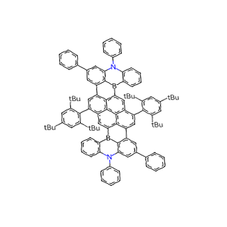 CC(C)(C)c1cc(C(C)(C)C)c(-c2cc3c4c(cc5c(-c6c(C(C)(C)C)cc(C(C)(C)C)cc6C(C)(C)C)cc6c7c(cc2c4c57)B2c4ccccc4N(c4ccccc4)c4cc(-c5ccccc5)cc-6c42)B2c4ccccc4N(c4ccccc4)c4cc(-c5ccccc5)cc-3c42)c(C(C)(C)C)c1